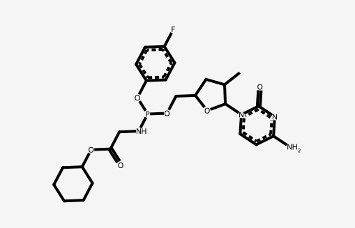 CC1CC(COP(NCC(=O)OC2CCCCC2)Oc2ccc(F)cc2)OC1n1ccc(N)nc1=O